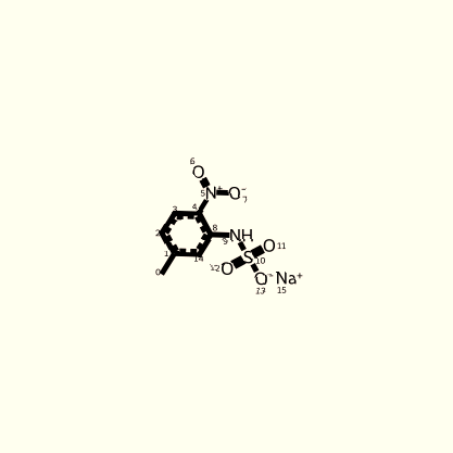 Cc1ccc([N+](=O)[O-])c(NS(=O)(=O)[O-])c1.[Na+]